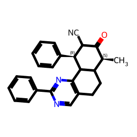 C[C@@H]1C(=O)C(C#N)[C@H](c2ccccc2)C2c3nc(-c4ccccc4)ncc3CCC21